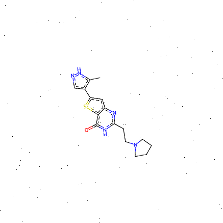 Cc1[nH]ncc1-c1cc2nc(CCN3CCCC3)[nH]c(=O)c2s1